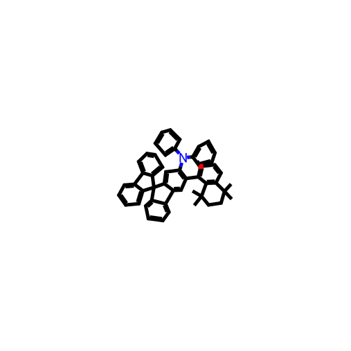 Cc1ccc2c(c1-c1cc3c(cc1N(c1ccccc1)c1ccccc1)C1(c4ccccc4-c4ccccc41)c1ccccc1-3)C(C)(C)CCC2(C)C